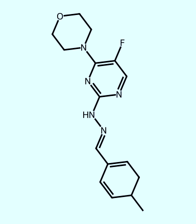 CC1C=CC(/C=N/Nc2ncc(F)c(N3CCOCC3)n2)=CC1